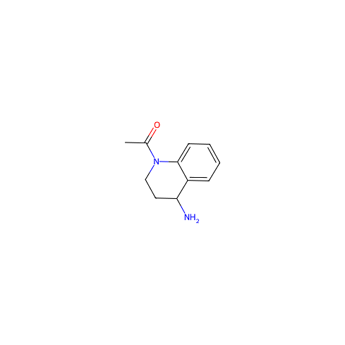 CC(=O)N1CCC(N)c2ccccc21